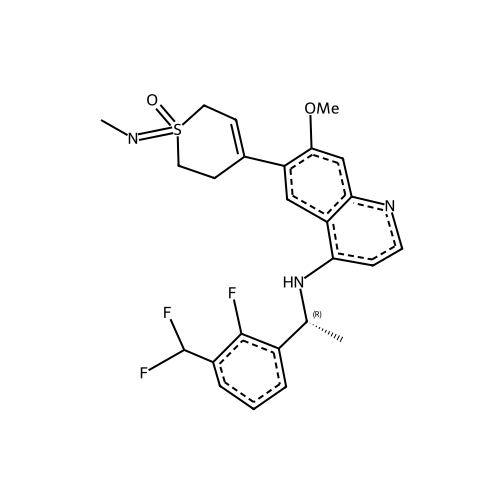 CN=S1(=O)CC=C(c2cc3c(N[C@H](C)c4cccc(C(F)F)c4F)ccnc3cc2OC)CC1